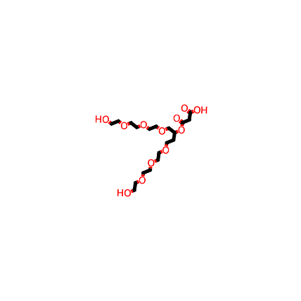 O=C(O)CC(=O)OC(CCOCCOCCOCCO)COCCOCCOCCO